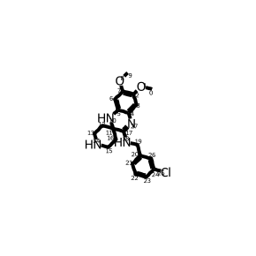 COc1cc2c(cc1OC)NC1(CCNCC1)C(NCc1cccc(Cl)c1)=N2